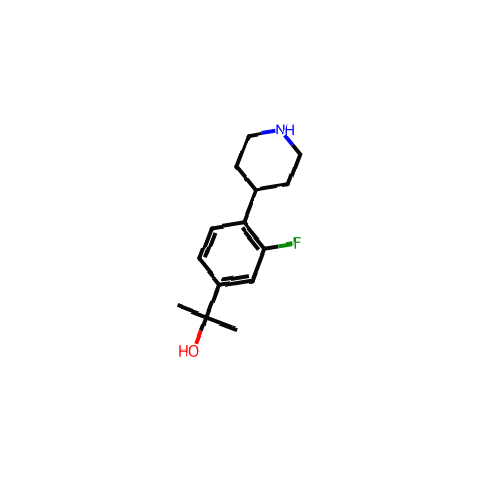 CC(C)(O)c1ccc(C2CCNCC2)c(F)c1